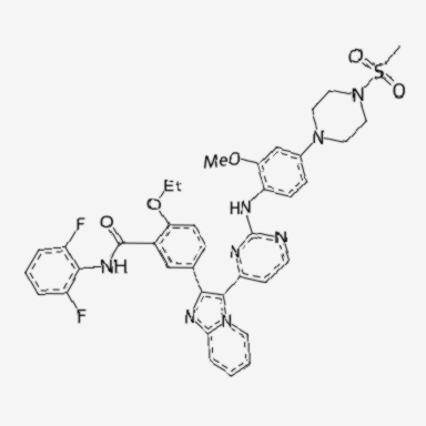 CCOc1ccc(-c2nc3ccccn3c2-c2ccnc(Nc3ccc(N4CCN(S(C)(=O)=O)CC4)cc3OC)n2)cc1C(=O)Nc1c(F)cccc1F